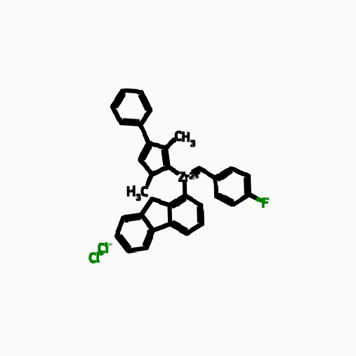 CC1=[C](/[Zr+2](=[CH]/c2ccc(F)cc2)[c]2cccc3c2Cc2ccccc2-3)C(C)C=C1c1ccccc1.[Cl-].[Cl-]